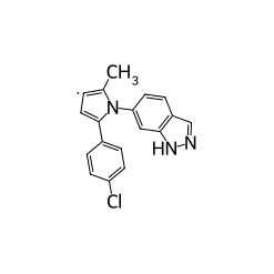 Cc1[c]cc(-c2ccc(Cl)cc2)n1-c1ccc2cn[nH]c2c1